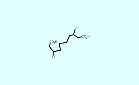 CCC(CCCCC(CC)CC(=O)O)CC(=O)O